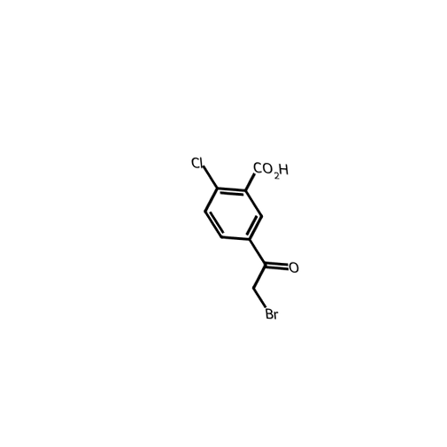 O=C(CBr)c1ccc(Cl)c(C(=O)O)c1